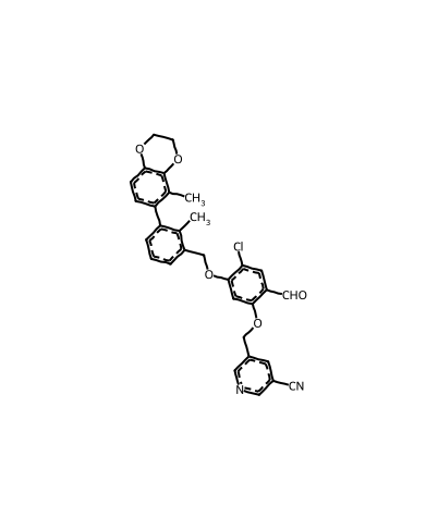 Cc1c(COc2cc(OCc3cncc(C#N)c3)c(C=O)cc2Cl)cccc1-c1ccc2c(c1C)OCCO2